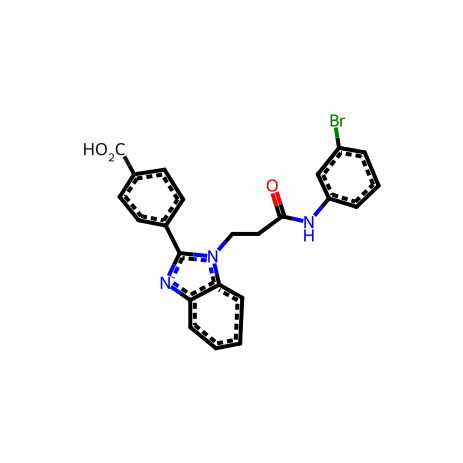 O=C(CCn1c(-c2ccc(C(=O)O)cc2)nc2ccccc21)Nc1cccc(Br)c1